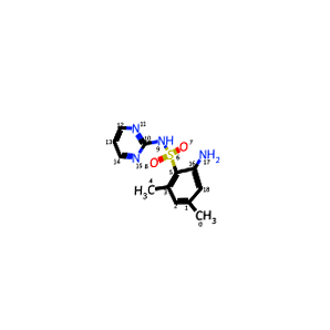 Cc1cc(C)c(S(=O)(=O)Nc2ncccn2)c(N)c1